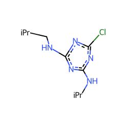 CC(C)CNc1nc(Cl)nc(NC(C)C)n1